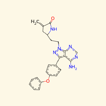 C=C1CC(CCn2nc(-c3ccc(Oc4ccccc4)cc3)c3c(N)ncnc32)NC1=O